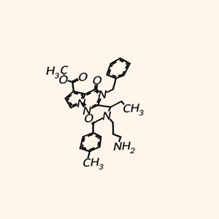 CCC(c1nn2ccc(C(=O)OC)c2c(=O)n1Cc1ccccc1)N(CCCN)C(=O)c1ccc(C)cc1